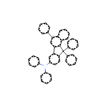 c1ccc(-c2cc3c(c4ccccc24)C(c2ccccc2)(c2ccccc2)c2ccc(N(c4ccccc4)c4ccccc4)cc2-3)cc1